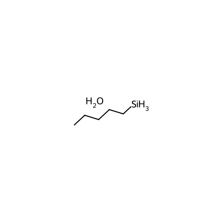 CCCCC[SiH3].O